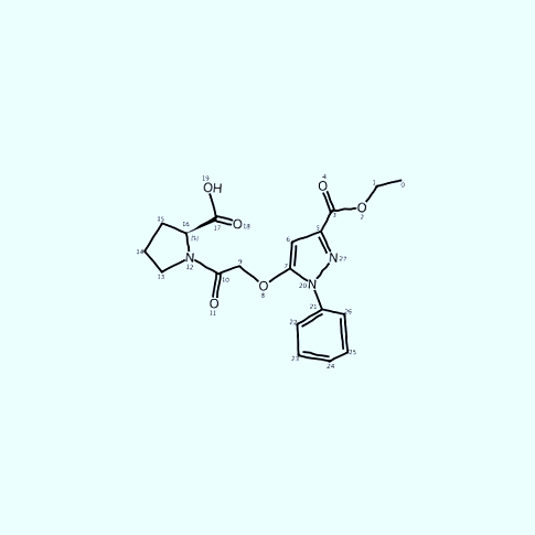 CCOC(=O)c1cc(OCC(=O)N2CCC[C@H]2C(=O)O)n(-c2ccccc2)n1